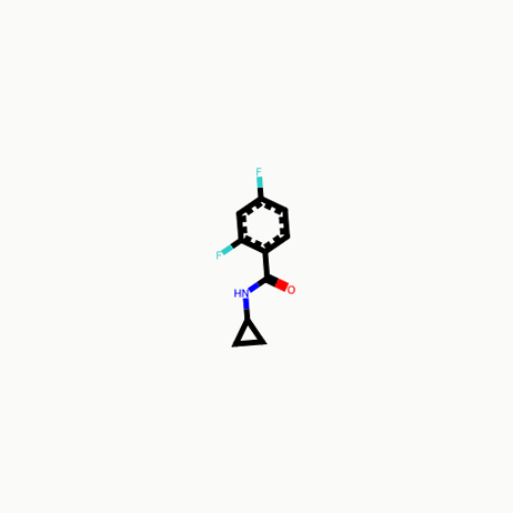 O=C(NC1CC1)c1ccc(F)cc1F